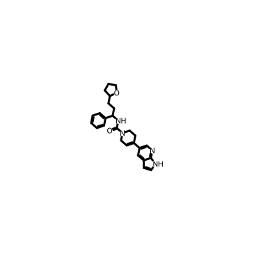 O=C(NC(CCC1CCCO1)c1ccccc1)N1CC=C(c2cnc3[nH]ccc3c2)CC1